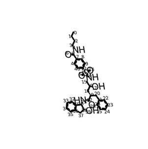 CCCCNC(=O)c1ccc(S(=O)(=O)NC[C@@H](O)C[C@@H](Cc2ccccc2)C(=O)N[C@H]2c3ccccc3C[C@H]2O)cc1